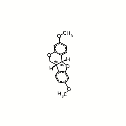 COc1ccc2c(c1)O[C@H]1c3ccc(OC)cc3OC[C@@H]21